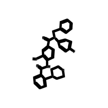 O=C(Nc1ccc(C(=O)N(Cc2ccccc2)c2ccc(F)cc2)cc1O)c1ccccc1N1CCOCC1